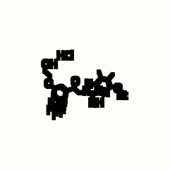 CCOc1nn2c(=N)n(CC(=O)c3cc(OCCO)cc(S(F)(F)(F)(F)F)c3)nc2c(C)c1C.Cl